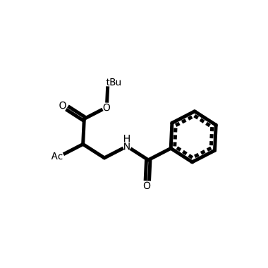 CC(=O)C(CNC(=O)c1ccccc1)C(=O)OC(C)(C)C